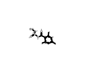 CCO[PH](=O)OC(=O)c1c(C)cc(C)cc1C